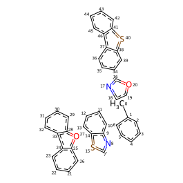 Cc1ccccc1.[c]1nc2ccccc2s1.[c]1ncco1.c1ccc2c(c1)oc1ccccc12.c1ccc2c(c1)sc1ccccc12